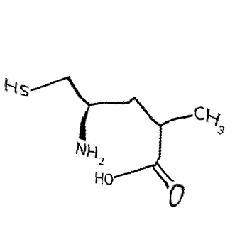 CC(C[C@@H](N)CS)C(=O)O